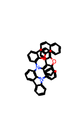 c1ccc(-n2c3ccccc3c3cccc(N(c4cccc5c4oc4c6ccccc6ccc54)c4cccc5oc6ccccc6c45)c32)cc1